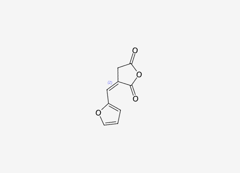 O=C1C/C(=C/c2ccco2)C(=O)O1